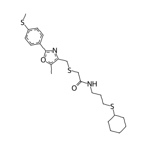 CSc1ccc(-c2nc(CSCC(=O)NCCCSC3CCCCC3)c(C)o2)cc1